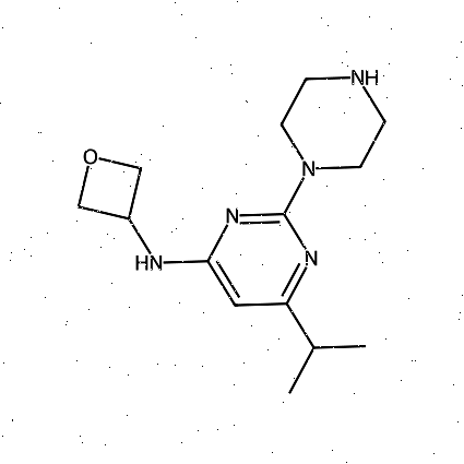 CC(C)c1cc(NC2COC2)nc(N2CCNCC2)n1